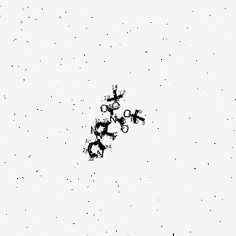 CC(C)(C)OC(=O)N(C(=O)OC(C)(C)C)c1cnn(-c2cccnc2)c1F